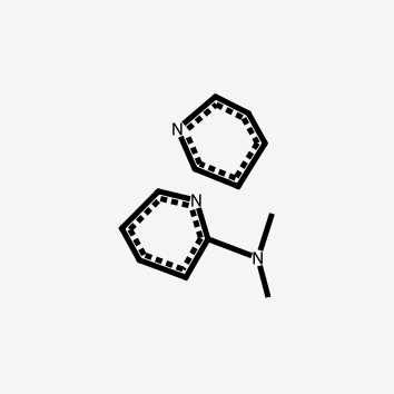 CN(C)c1ccccn1.c1ccncc1